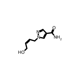 NC(=O)c1cnn(C/C=C\CO)c1